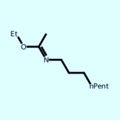 CCCCCCCC/N=C(\C)OCC